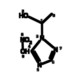 CC(O)n1cncn1.O=[N+]([O-])O